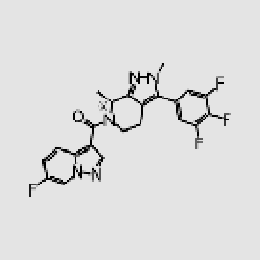 C[C@H]1c2nn(C)c(-c3cc(F)c(F)c(F)c3)c2CCN1C(=O)c1cnn2cc(F)ccc12